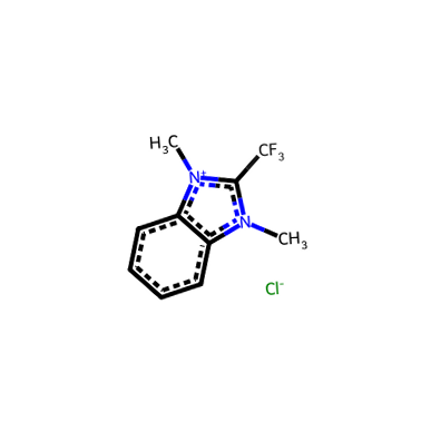 Cn1c(C(F)(F)F)[n+](C)c2ccccc21.[Cl-]